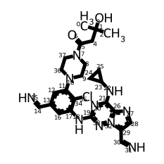 CC(C)(O)CC(=O)N1CCN(c2cc(C=N)cc(Nc3nc(NC4CC4)c4ncc(C=N)n4n3)c2Cl)CC1